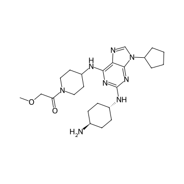 COCC(=O)N1CCC(Nc2nc(N[C@H]3CC[C@H](N)CC3)nc3c2ncn3C2CCCC2)CC1